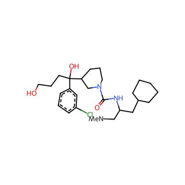 CNCC(CC1CCCCC1)NC(=O)N1CCCC(C(O)(CCCO)c2cccc(Cl)c2)C1